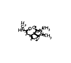 CNC(=O)Cc1csc2c1c(=O)n(C)n2C